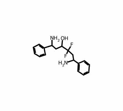 NC(CC(O)C(F)(F)CC(N)c1ccccc1)c1ccccc1